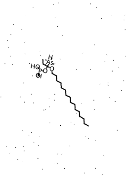 CCCCCCCCCCCCCCCCOC(CC)(O[PH](=O)O)[AsH](C)(C)C